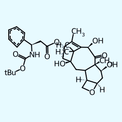 CC1=C2[C@@H](O)C(=O)[C@@]3(C)C(C[C@](O)(C[C@@H]1OC(=O)C[C@@H](NC(=O)OC(C)(C)C)c1ccccc1)C2(C)C)[C@@H]1CO[C@@H]1C[C@@H]3O